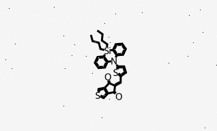 CCCC[Si]1(CCCC)c2ccccc2N(c2ccc(C=C3C(=O)c4cscc4C3=O)s2)c2ccccc21